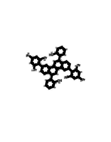 CC(C)c1cc(C(C)C)c(-c2ccc3c(-c4ccccc4O)cc4c5cc(-c6c(C(C)C)cc(C(C)C)cc6C(C)C)ccc5c(-c5ccccc5O)cc4c3c2)c(C(C)C)c1